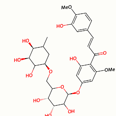 COc1ccc(C=CC(=O)c2c(O)cc(O[C@@H]3OC(CO[C@@H]4CC(C)[C@H](O)[C@H](O)C4O)[C@@H](O)[C@@H](O)C3O)cc2OC)cc1O